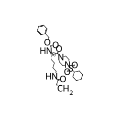 C=CC(=O)NCCCC[C@H](NC(=O)OCc1ccccc1)C(=O)N1CCN(S(=O)(=O)C2CCCCC2)CC1